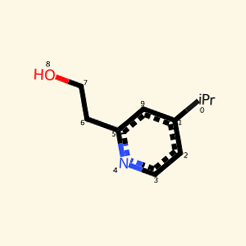 CC(C)c1ccnc(CCO)c1